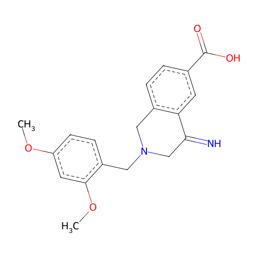 COc1ccc(CN2CC(=N)c3cc(C(=O)O)ccc3C2)c(OC)c1